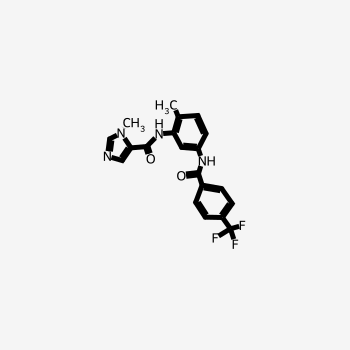 Cc1ccc(NC(=O)c2ccc(C(F)(F)F)cc2)cc1NC(=O)c1cncn1C